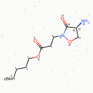 CCCCCCCCCCCCOC(=O)CCN1OC[C@H](N)C1=O